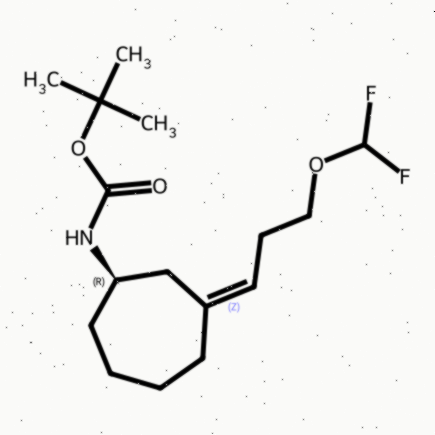 CC(C)(C)OC(=O)N[C@@H]1CCCC/C(=C/CCOC(F)F)C1